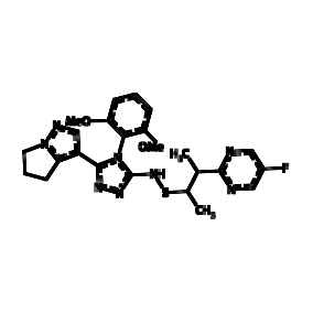 COc1cccc(OC)c1-n1c(NSC(C)C(C)c2ncc(F)cn2)nnc1-c1cnn2c1CCC2